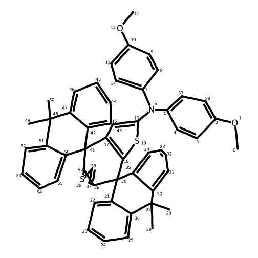 COc1ccc(N(c2ccc(OC)cc2)c2cc3c(s2)C2(c4ccccc4C(C)(C)c4ccccc42)c2ccsc2C32c3ccccc3C(C)(C)c3ccccc32)cc1